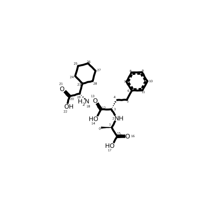 C[C@@H](N[C@@H](CCc1ccccc1)C(=O)O)C(=O)O.N[C@H](C(=O)O)C1CCCCC1